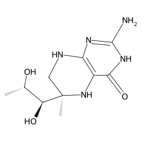 C[C@H](O)[C@H](O)[C@@]1(C)CNc2nc(N)[nH]c(=O)c2N1